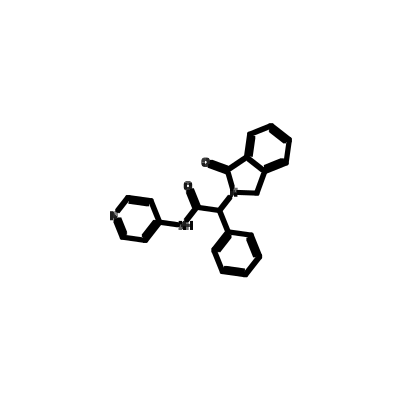 O=C(Nc1ccncc1)C(c1ccccc1)N1Cc2ccccc2C1=O